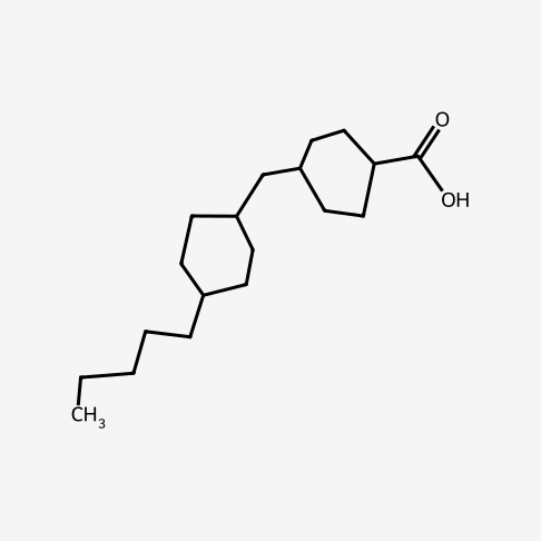 CCCCCC1CCC(CC2CCC(C(=O)O)CC2)CC1